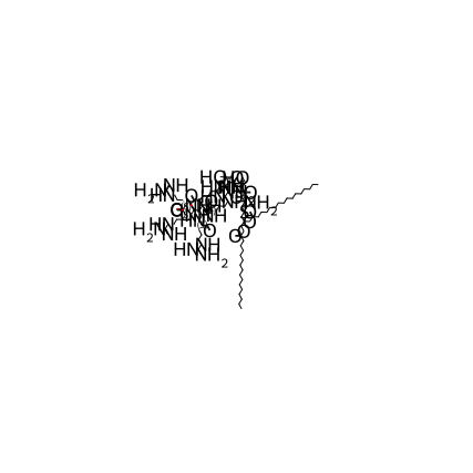 CCCCCCCCCCCCCCCC(=O)OCC(CSCC(N)C(=O)C(=O)[C@H](CO)NC(=O)[C@H](CO)NNCCCCC(NC(C(N[C@H](C=O)CCCNC(=N)N)N[C@H](C=O)CCCNC(=N)N)C(N[C@H](C=O)CCCNC(=N)N)N[C@H](C=O)CCCNC(=N)N)C(C)=O)OC(=O)CCCCCCCCCCCCCCC